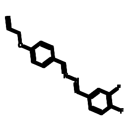 C=CCOc1ccc(C=NN=Cc2ccc(F)c(F)c2)cc1